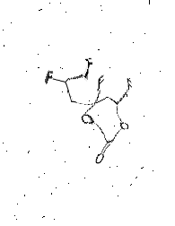 O=C1OC(F)C(F)(CC(F)F)O1